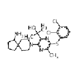 Cc1nc(N2CCC3(CCCC3N)CC2)c(C(C)(C)O)nc1Sc1cccc(Cl)c1Cl